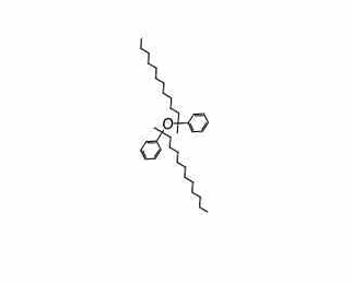 CCCCCCCCCCCC(C)(OC(C)(CCCCCCCCCCC)c1ccccc1)c1ccccc1